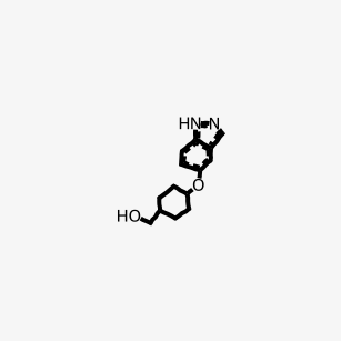 OCC1CCC(Oc2ccc3[nH]ncc3c2)CC1